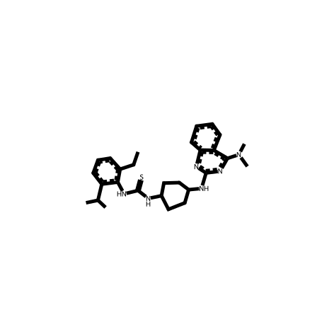 CCc1cccc(C(C)C)c1NC(=S)NC1CCC(Nc2nc(N(C)C)c3ccccc3n2)CC1